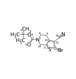 CC(C)(C)OC(=O)N1CCc2c(sc(Br)c2C#N)C1